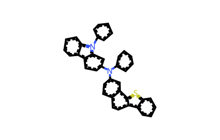 c1ccc(N(c2ccc3ccc4c5ccccc5sc4c3c2)c2ccc3c4ccccc4n(-c4ccccc4)c3c2)cc1